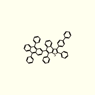 c1ccc(-c2ccc(-c3c(-c4ccccc4)sc4c(-c5ccccc5)c(-c5ccc6c(-c7ccccc7)c7ccccc7c(-c7ccccc7)c6c5)c5ccccc5c34)cc2)cc1